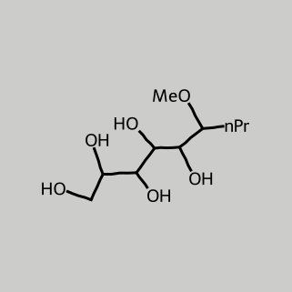 CCCC(OC)C(O)C(O)C(O)C(O)CO